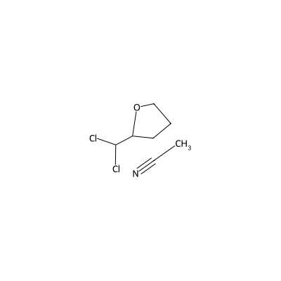 CC#N.ClC(Cl)C1CCCO1